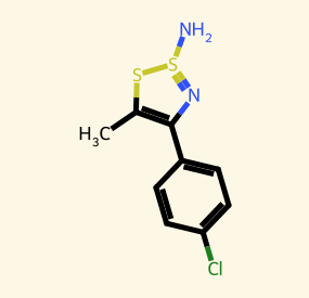 CC1=C(c2ccc(Cl)cc2)N=S(N)S1